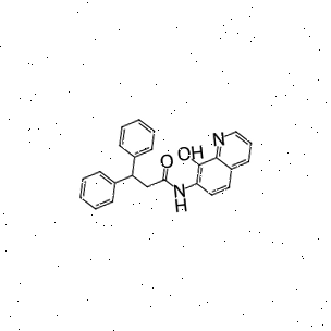 O=C(CC(c1ccccc1)c1ccccc1)Nc1ccc2cccnc2c1O